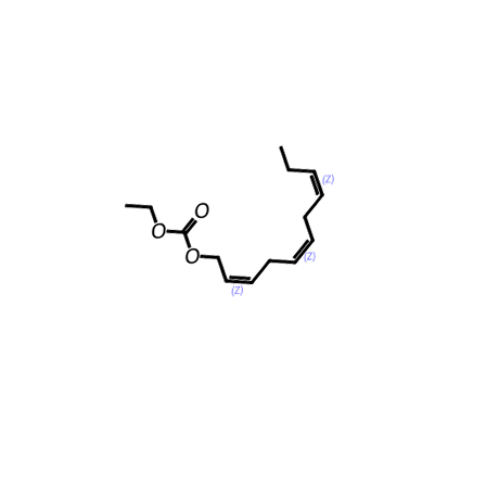 CC/C=C\C/C=C\C/C=C\COC(=O)OCC